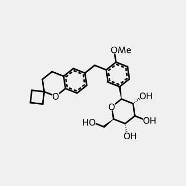 COc1ccc([C@@H]2O[C@H](CO)[C@@H](O)C(O)[C@H]2O)cc1Cc1ccc2c(c1)CCC1(CCC1)O2